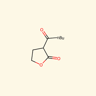 CCCCC(=O)C1CCOC1=O